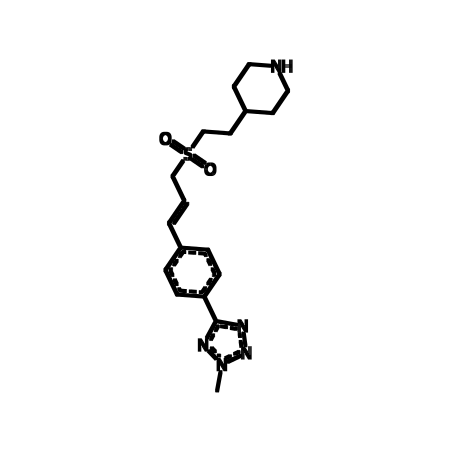 Cn1nnc(-c2ccc(C=CCS(=O)(=O)CCC3CCNCC3)cc2)n1